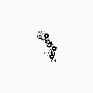 C[C@]1(c2ccc(C#N)cc2F)Oc2cccc([C@H]3CCN(Cc4nc5ccc(C(=O)O)cc5n4Cc4cncs4)[C@H]4C[C@@H]34)c2O1